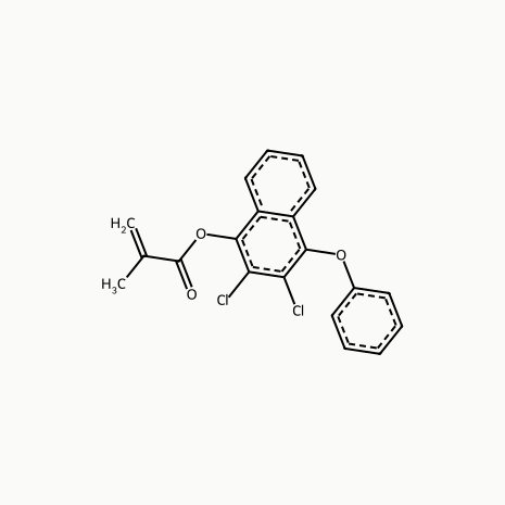 C=C(C)C(=O)Oc1c(Cl)c(Cl)c(Oc2ccccc2)c2ccccc12